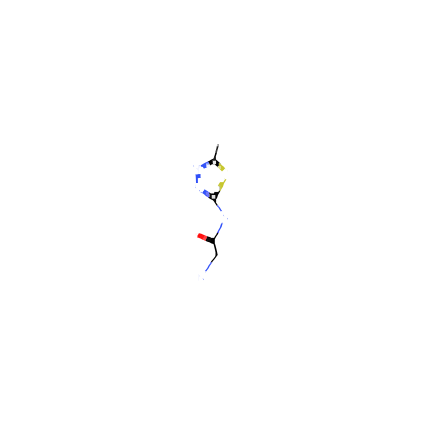 CCc1nnc(NC(=O)CN)s1